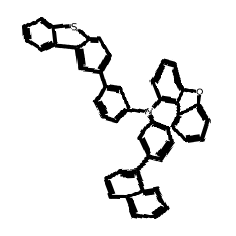 c1cc(-c2ccc3sc4ccccc4c3c2)cc(N(c2cccc(-c3cccc4ccccc34)c2)c2cccc3oc4ccccc4c23)c1